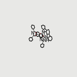 c1ccc(C2=NC(n3c4ccccc4c4ccc5c6ccccc6n(-c6cccc(-c7cc(-c8ccccc8)nc(-c8ccccc8)c7)c6)c5c43)NC(c3ccccc3)=N2)cc1